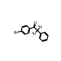 [2H]C([2H])(C(=O)c1ccc(Br)cc1)c1ccccc1